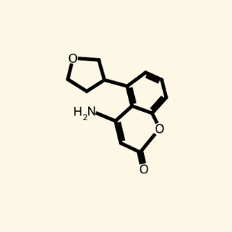 Nc1cc(=O)oc2cccc(C3CCOC3)c12